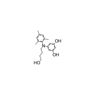 Cc1cc(C)c(N(CCCCO)c2cc(O)cc(O)c2)c(C)c1